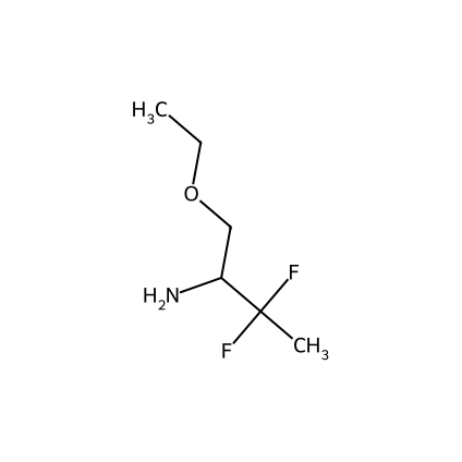 CCOCC(N)C(C)(F)F